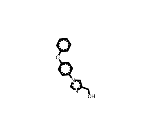 OCc1cn(-c2ccc(Oc3ccccc3)cc2)cn1